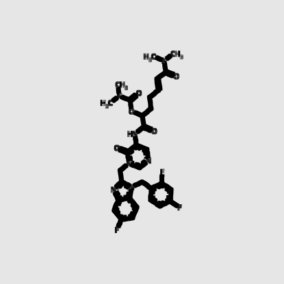 CN(C)C(=O)C=CCCC(OC(=O)N(C)C)C(=O)Nc1cncn(Cc2nc3cc(F)ccc3n2Cc2ccc(F)cc2F)c1=O